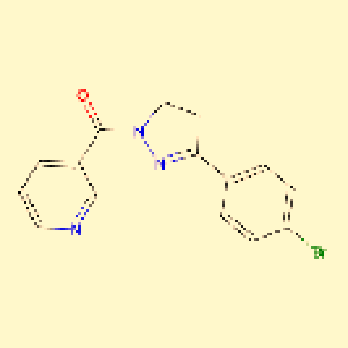 O=C(c1cccnc1)N1CCC(c2ccc(Br)cc2)=N1